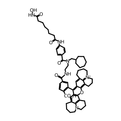 O=C(CCCCCCC(=O)Nc1ccc(C(=O)N(CCNC(=O)c2ccc(C(=O)O)c(C3=c4cc5c6c(c4Oc4c3cc3c7c4CCCN7CCCC3)CCC[N+]=6CCCC5)c2)CC2CCCCCC2)cc1)NO